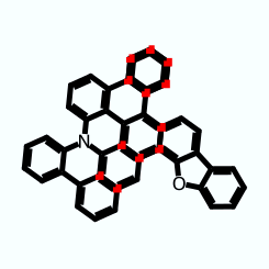 c1ccc(-c2ccccc2-c2c(-c3ccccc3)cccc2N(c2cccc(-c3cccc4c3oc3ccccc34)c2)c2ccccc2-c2ccccc2)cc1